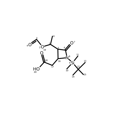 CC(OC=O)C1C(=O)N([Si](C)(C)C(C)(C)C)C1CC(=O)O